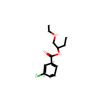 CCOCC(CC)OC(=O)c1cccc(Cl)c1